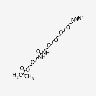 C=C(C)C(=O)OCCOCCNC(=O)NCCOCCOCCOCCOCCN=[N+]=[N-]